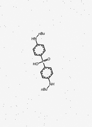 CCCCNc1ccc(P(=O)(O)c2ccc(NCCCC)cc2)cc1